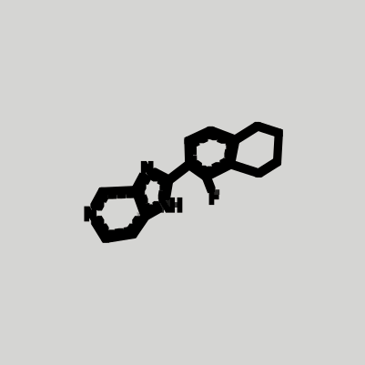 Fc1c(-c2nc3cnccc3[nH]2)ccc2c1CCCC2